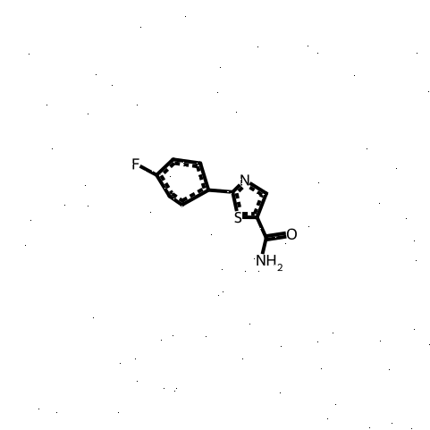 NC(=O)c1cnc(-c2ccc(F)cc2)s1